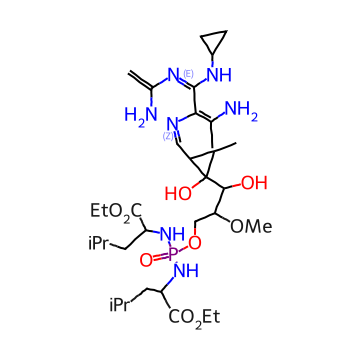 C=C(N)/N=C(/NC1CC1)C(/N=C\C1C(C)C1(O)C(O)C(COP(=O)(NC(CC(C)C)C(=O)OCC)NC(CC(C)C)C(=O)OCC)OC)=C(C)N